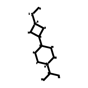 CSN1CC(C2CCN(C(C)C)CC2)C1